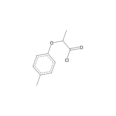 Cc1ccc(OC(C)C(=O)Cl)cc1